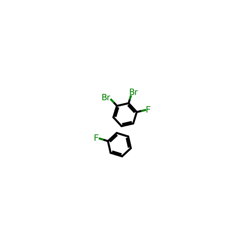 Fc1cccc(Br)c1Br.Fc1ccccc1